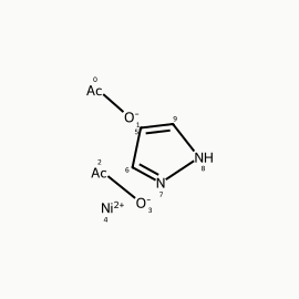 CC(=O)[O-].CC(=O)[O-].[Ni+2].c1cn[nH]c1